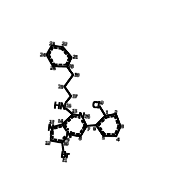 Clc1ccccc1-c1cn2c(Br)cnc2c(NCCCc2ccccc2)n1